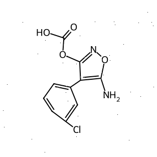 Nc1onc(OC(=O)O)c1-c1cccc(Cl)c1